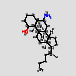 CC(C)CCC[C@@H](C)[C@H]1CC[C@H]2[C@@H]3CC(N)C4CCCC(O)[C@]4(C)[C@H]3CC[C@]12C